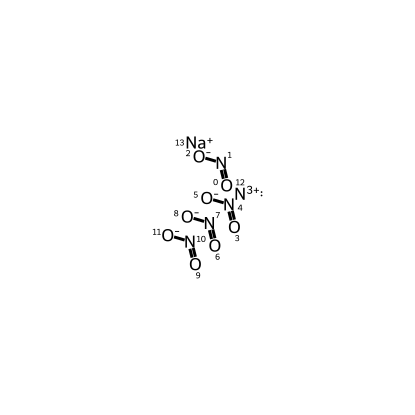 O=N[O-].O=N[O-].O=N[O-].O=N[O-].[N+3].[Na+]